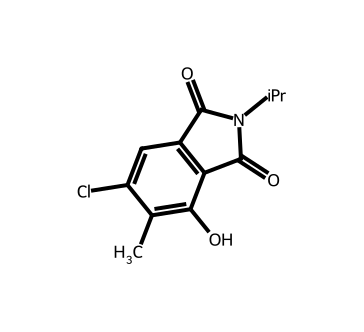 Cc1c(Cl)cc2c(c1O)C(=O)N(C(C)C)C2=O